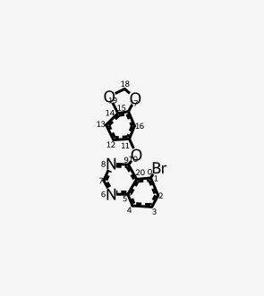 Brc1cccc2ncnc(Oc3ccc4c(c3)OCO4)c12